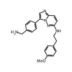 COc1ccc(CCNc2ccc3ncc(-c4ccc(CN)cc4)n3n2)cc1